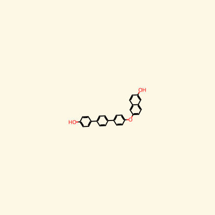 Oc1ccc(-c2ccc(-c3ccc(Oc4ccc5cc(O)ccc5c4)cc3)cc2)cc1